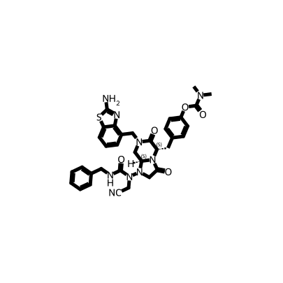 CN(C)C(=O)Oc1ccc(C[C@H]2C(=O)N(Cc3cccc4sc(N)nc34)C[C@H]3N2C(=O)CN3N(CC#N)C(=O)NCc2ccccc2)cc1